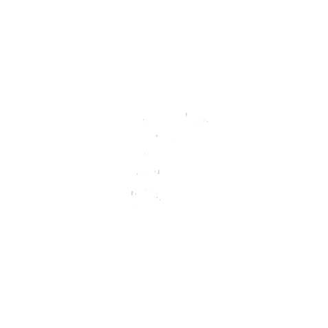 Cc1ccncc1-c1cc(N)c2cnc(NC(=O)C(=O)NC3(C#N)CCOCC3)cc2c1